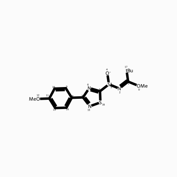 COC(=N[S+]([O-])c1nc(-c2ccc(OC)cc2)ns1)C(C)(C)C